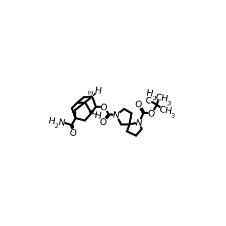 CC(C)(C)OC(=O)N1CCCC12CCN(C(=O)OC1[C@@H]3CC4C[C@H]1CC(C(N)=O)(C4)C3)C2